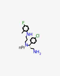 CCCN(CCCNc1ccc(F)cc1C)[C@@H](CCN)c1ccc(Cl)cc1